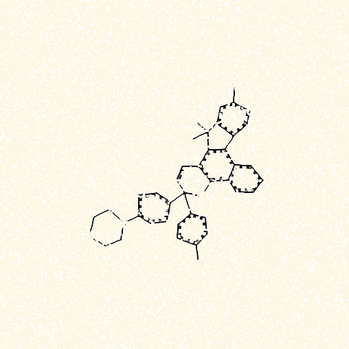 Cc1ccc2c(c1)C(C)(C)c1c3c(c4ccccc4c1-2)OC(c1ccc(Cl)cc1)(c1ccc(N2CCOCC2)cc1)C=C3